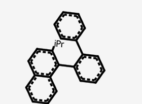 CC(C)c1ccc2ccccc2c1-c1ccccc1-c1ccccc1